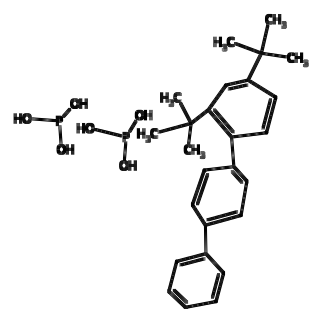 CC(C)(C)c1ccc(-c2ccc(-c3ccccc3)cc2)c(C(C)(C)C)c1.OP(O)O.OP(O)O